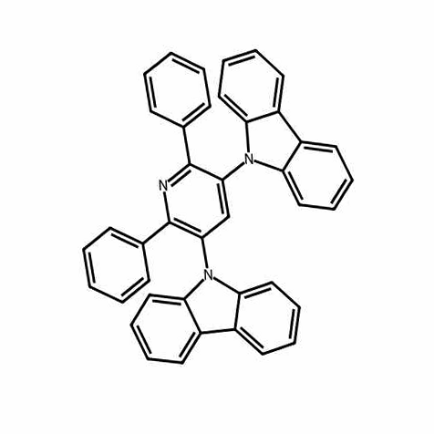 c1ccc(-c2nc(-c3ccccc3)c(-n3c4ccccc4c4ccccc43)cc2-n2c3ccccc3c3ccccc32)cc1